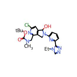 CCn1cnnc1-c1cccc(N2Cc3c(cc(Cl)nc3CN(C)C(=O)OC(C)(C)C)C2O)n1